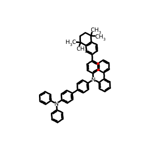 CC1(C)CCC(C)(C)c2cc(-c3ccc(N(c4ccc(-c5ccc(N(c6ccccc6)c6ccccc6)cc5)cc4)c4ccccc4-c4ccccc4)cc3)ccc21